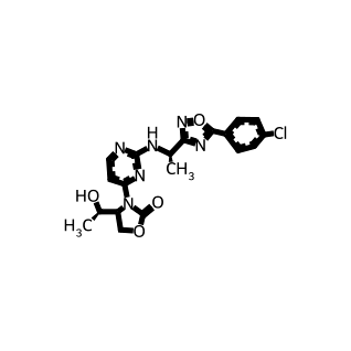 C[C@@H](Nc1nccc(N2C(=O)OCC2[C@@H](C)O)n1)c1noc(-c2ccc(Cl)cc2)n1